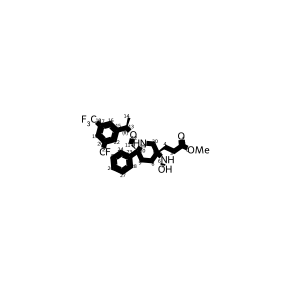 COC(=O)CC[C@@]1(NO)CC[C@@](CO[C@H](C)c2cc(C(F)(F)F)cc(C(F)(F)F)c2)(c2ccccc2)NC1